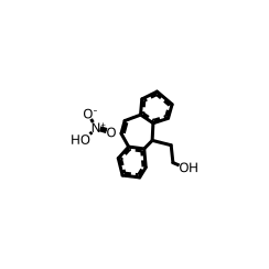 O=[N+]([O-])O.OCCC1c2ccccc2C=Cc2ccccc21